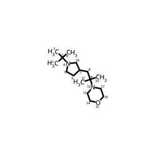 CC(C)(C)N1CCC(CC(C)(C)N2CCOCC2)C1